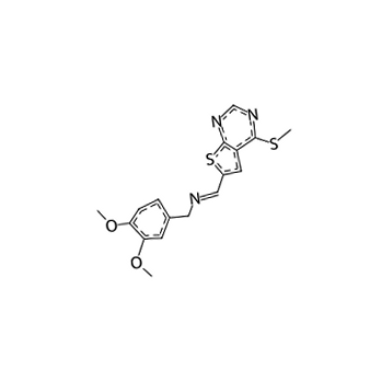 COc1ccc(C/N=C/c2cc3c(SC)ncnc3s2)cc1OC